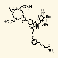 CC[C@H](C)[C@H](NC(=O)[C@H](CC(C)C)NC(=O)C1(NC(=O)CCSCc2cccc(CSCCC(N)=O)n2)CCN(C(=O)CN2CCN(CC(=O)O)CCN(CC(=O)O)CCN(CC(=O)O)CC2)CC1)C(N)=O